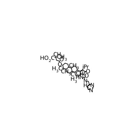 CC(C)C1=C2C3CCC4[C@@]5(C)CC[C@H](OC(=O)CC(C)(C)C(=O)O)C(C)(C)C5CC[C@@]4(C)[C@]3(C)CC[C@@]2(NC(=O)NCc2ccncn2)CC1=O